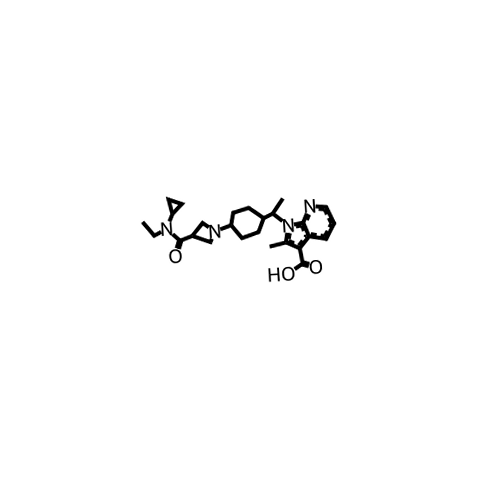 CCN(C(=O)C1CN(C2CCC(C(C)n3c(C)c(C(=O)O)c4cccnc43)CC2)C1)C1CC1